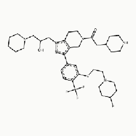 O=C(CC1CCNCC1)N1CCc2c(c(-c3ccc(C(F)(F)F)c(SCCN4CCC(F)CC4)c3)nn2CC(O)CN2CCCCC2)C1